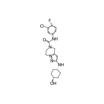 O=C(Nc1ccc(F)c(Cl)c1)N1CCn2nc(N[C@H]3CC[C@H](O)CC3)cc2C1